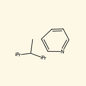 CC(C)C(C)C(C)C.c1ccncc1